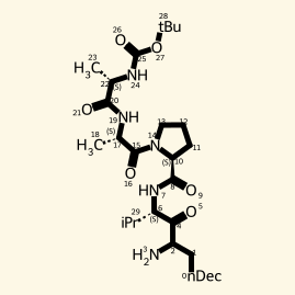 CCCCCCCCCCCC(N)C(=O)[C@@H](NC(=O)[C@@H]1CCCN1C(=O)[C@H](C)NC(=O)[C@H](C)NC(=O)OC(C)(C)C)C(C)C